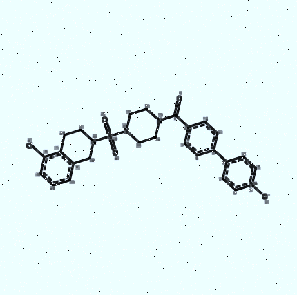 O=C(c1ccc(-c2cc[n+]([O-])cc2)cc1)N1CCN(S(=O)(=O)N2CCc3c(Cl)cccc3C2)CC1